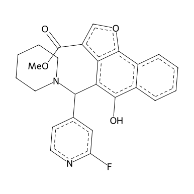 COC(=O)c1coc2c1c(C(c1ccnc(F)c1)N1CCCCC1)c(O)c1ccccc12